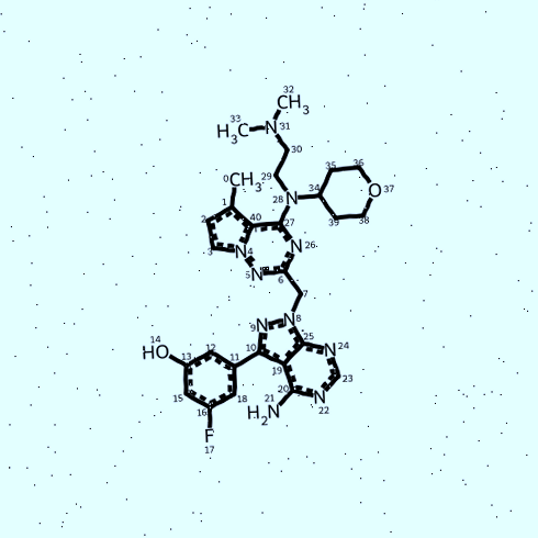 Cc1ccn2nc(Cn3nc(-c4cc(O)cc(F)c4)c4c(N)ncnc43)nc(N(CCN(C)C)C3CCOCC3)c12